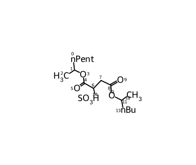 CCCCCC(C)OC(=O)C(CC(=O)OC(C)CCCC)S(=O)(=O)O